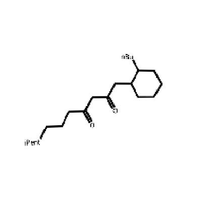 CCCCC1CCCCC1CC(=O)CC(=O)CCCC(C)CCC